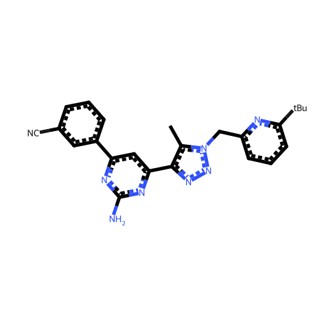 Cc1c(-c2cc(-c3cccc(C#N)c3)nc(N)n2)nnn1Cc1cccc(C(C)(C)C)n1